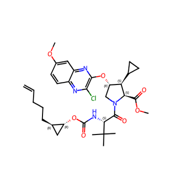 C=CCCC[C@@H]1C[C@H]1OC(=O)N[C@H](C(=O)N1C[C@H](Oc2nc3cc(OC)ccc3nc2Cl)[C@@H](C2CC2)[C@H]1C(=O)OC)C(C)(C)C